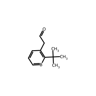 CC(C)(C)c1bcccc1CC=O